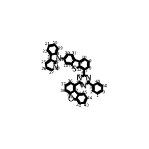 c1ccc(-c2nc(-c3cccc4c3sc3cc(-n5c6ccccc6c6cccnc65)ccc34)nc(-c3cccc4oc5ccccc5c34)n2)cc1